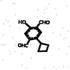 O=Cc1cc(C2CCC2)c(C=O)cc1O